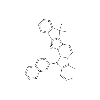 C/C=C\C1=C(C)C2C=Cc3c(sc4c3C(C)(C)c3ccccc3-4)C2N1c1ccc2ccccc2c1